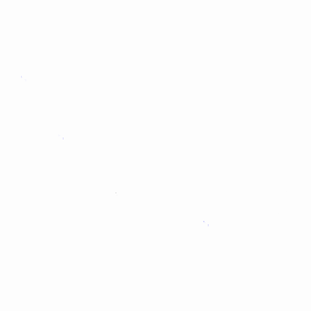 O=C(OC1CCN(c2ccncc2)C1)c1ccc2nc(-c3cc(Cl)cc(Cl)c3)oc2c1